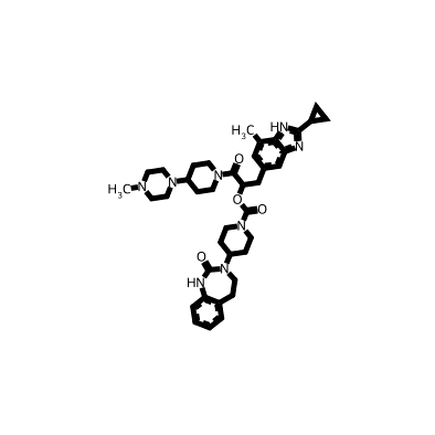 Cc1cc(CC(OC(=O)N2CCC(N3CCc4ccccc4NC3=O)CC2)C(=O)N2CCC(N3CCN(C)CC3)CC2)cc2nc(C3CC3)[nH]c12